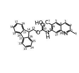 Cc1ccc2cc(C(=O)O)c(NC(=O)OCC3c4ccccc4-c4ccccc43)cc2n1